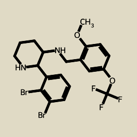 COc1ccc(OC(F)(F)F)cc1CNC1CCCNC1c1cccc(Br)c1Br